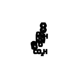 O=C(NCC1(C(=O)NC2C3CC4CC2CC(C(=O)O)(C4)C3)CC1)N1CCc2ccccc2C1